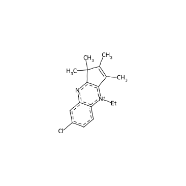 CC[n+]1c2c(nc3cc(Cl)ccc31)C(C)(C)C(C)=C2C